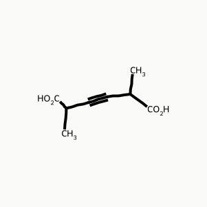 CC(C#CC(C)C(=O)O)C(=O)O